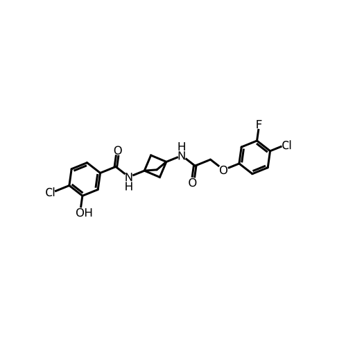 O=C(COc1ccc(Cl)c(F)c1)NC12CC(NC(=O)c3ccc(Cl)c(O)c3)(C1)C2